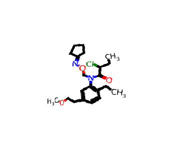 CCc1ccc(CCOC)cc1N(CON=C1CCCC1)C(=O)C(Cl)CC